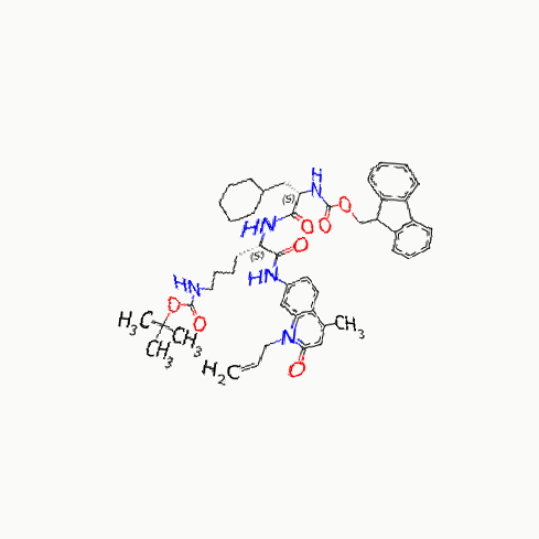 C=CCn1c(=O)cc(C)c2ccc(NC(=O)[C@H](CCCCNC(=O)OC(C)(C)C)NC(=O)[C@H](CC3CCCCC3)NC(=O)OCC3c4ccccc4-c4ccccc43)cc21